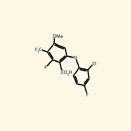 COc1cc(Oc2ccc(F)cc2Cl)c(C(=O)O)c(F)c1C(F)(F)F